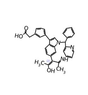 CC(=N)/C(=C(/C)O)c1ccc2c(-c3cccc(CC(=O)O)c3)cn(C(c3ccccc3)c3ccccn3)c2c1